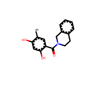 CC(C)c1cc(C(=O)N2CCc3ccccc3C2)c(O)cc1O